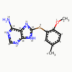 COc1ccc(C)cc1Sc1nc2c(N)ncnc2[nH]1